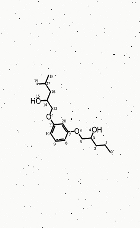 CCCC(O)COc1cccc(OCC(O)CC(C)C)c1